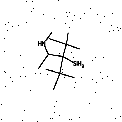 CNC(C)C([SiH3])(C(C)(C)C)C(C)(C)C